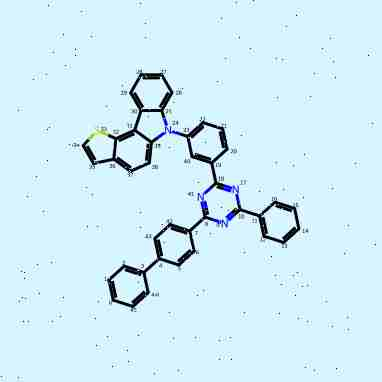 c1ccc(-c2ccc(-c3nc(-c4ccccc4)nc(-c4cccc(-n5c6ccccc6c6c7sccc7ccc65)c4)n3)cc2)cc1